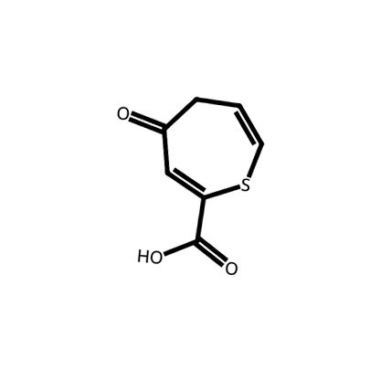 O=C1C=C(C(=O)O)SC=CC1